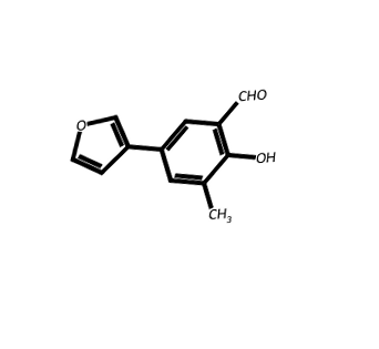 Cc1cc(-c2ccoc2)cc(C=O)c1O